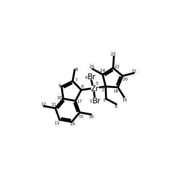 CC[C]1([Zr]([Br])([Br])[CH]2C(C)=Cc3c(C)ccc(C)c32)C(C)=C(C)C(C)=C1C